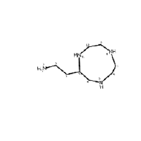 NCCC1CNCCNCCN1